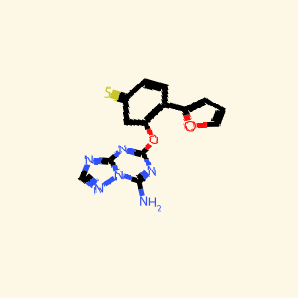 Nc1nc(OC2=C(c3ccco3)C=CC(=S)C2)nc2ncnn12